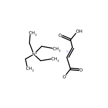 CC[N+](CC)(CC)CC.O=C([O-])/C=C/C(=O)O